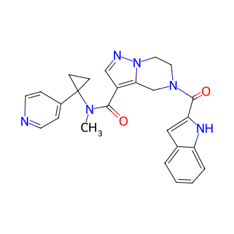 CN(C(=O)c1cnn2c1CN(C(=O)c1cc3ccccc3[nH]1)CC2)C1(c2ccncc2)CC1